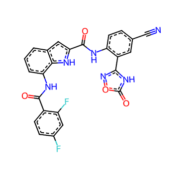 N#Cc1ccc(NC(=O)c2cc3cccc(NC(=O)c4ccc(F)cc4F)c3[nH]2)c(-c2noc(=O)[nH]2)c1